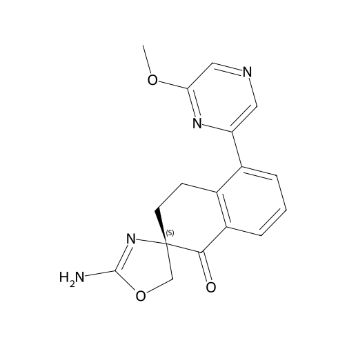 COc1cncc(-c2cccc3c2CC[C@]2(COC(N)=N2)C3=O)n1